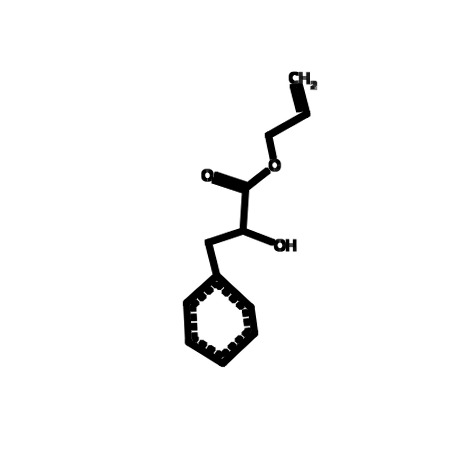 C=CCOC(=O)C(O)Cc1ccccc1